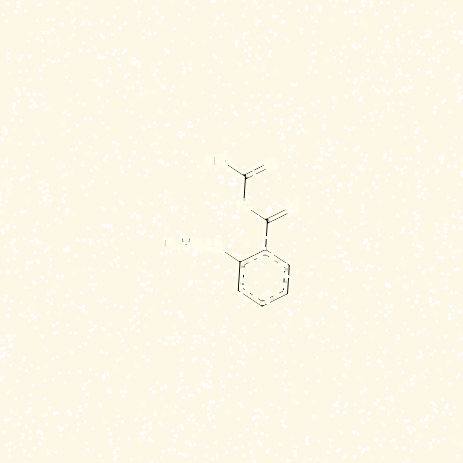 O=C(O)OC(=O)c1ccccc1O.[MgH2]